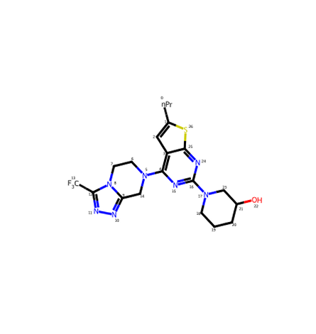 CCCc1cc2c(N3CCn4c(nnc4C(F)(F)F)C3)nc(N3CCCC(O)C3)nc2s1